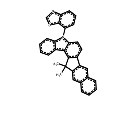 CC1(C)c2cc3ccccc3cc2-c2ccc3c(c21)c1ccccc1n3-c1cccc2ncoc12